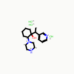 CC(c1cccnc1)C1(O)CCCCC1N1CCNCC1.Cl.Cl.Cl